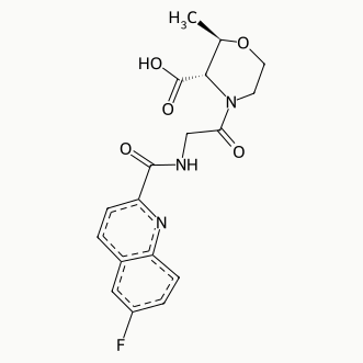 C[C@H]1OCCN(C(=O)CNC(=O)c2ccc3cc(F)ccc3n2)[C@@H]1C(=O)O